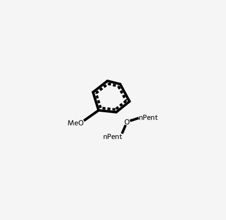 CCCCCOCCCCC.COc1ccccc1